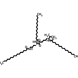 CCCCCCCCCCCCCCCC(=O)NCCCC[C@H](NC(=O)CCCCCCCCCCCCCC)C(=O)NCCCC[C@H](NC(=O)CCCCCCCCCCCCCCC)C(C)C